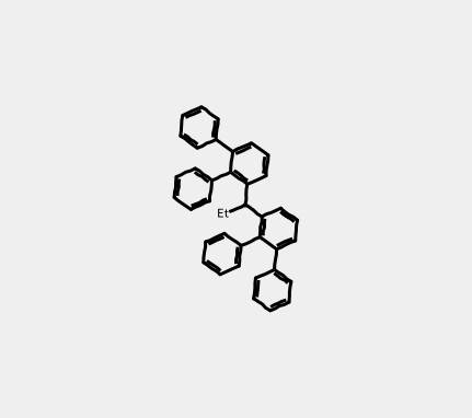 CC[C](c1cccc(-c2ccccc2)c1-c1ccccc1)c1cccc(-c2ccccc2)c1-c1ccccc1